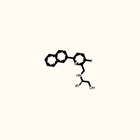 CC(C)[C@H](CO)NCc1nc(-c2ccc3ccccc3c2)ccc1F